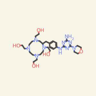 Nc1nc(Nc2ccc(CC3CN(CCO)CCN(CCO)CCN(CCO)CCN3CCO)cc2)nc(N2CCOCC2)n1